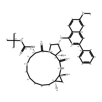 COc1ccc2c(O[C@@H]3C[C@H]4C(=O)N[C@@H]5C[C@H]5CCCCCSC[C@H](NC(=O)OC(C)(C)C)C(=O)N4C3)nc(-c3ccccc3)cc2c1